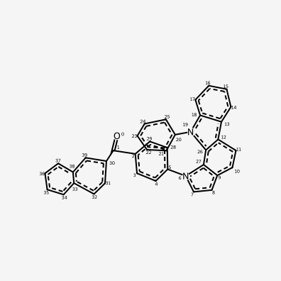 O=C(c1ccc(-n2ccc3ccc4c5ccccc5n(-c5ccccc5)c4c32)cc1)c1ccc2ccccc2c1